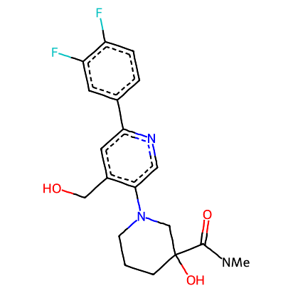 CNC(=O)C1(O)CCCN(c2cnc(-c3ccc(F)c(F)c3)cc2CO)C1